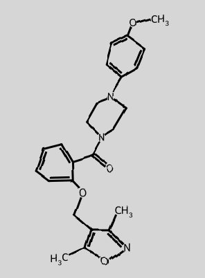 COc1ccc(N2CCN(C(=O)c3ccccc3OCc3c(C)noc3C)CC2)cc1